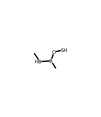 CBB(C)OS